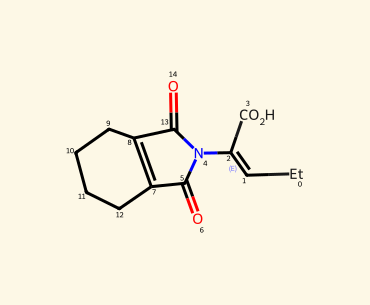 CC/C=C(\C(=O)O)N1C(=O)C2=C(CCCC2)C1=O